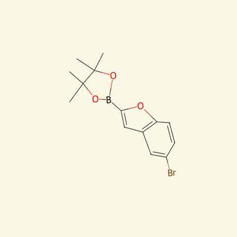 CC1(C)OB(c2cc3cc(Br)ccc3o2)OC1(C)C